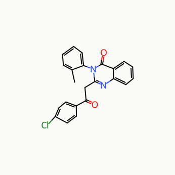 Cc1ccccc1-n1c(CC(=O)c2ccc(Cl)cc2)nc2ccccc2c1=O